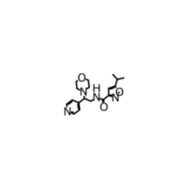 CC(C)c1cc(C(=O)NCC(c2ccncc2)N2CCOCC2)no1